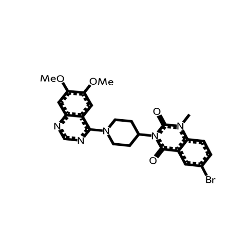 COc1cc2ncnc(N3CCC(n4c(=O)c5cc(Br)ccc5n(C)c4=O)CC3)c2cc1OC